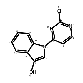 Oc1cn(-c2ccnc(Cl)n2)c2ccccc12